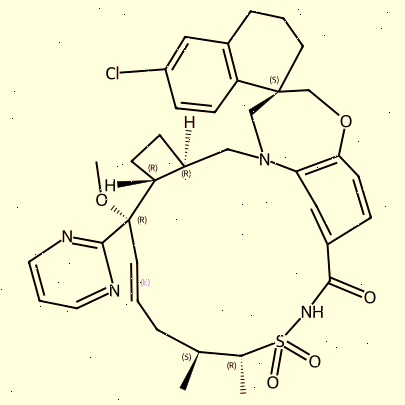 CO[C@@]1(c2ncccn2)/C=C/C[C@H](C)[C@@H](C)S(=O)(=O)NC(=O)c2ccc3c(c2)N(C[C@@H]2CC[C@H]21)C[C@@]1(CCCc2cc(Cl)ccc21)CO3